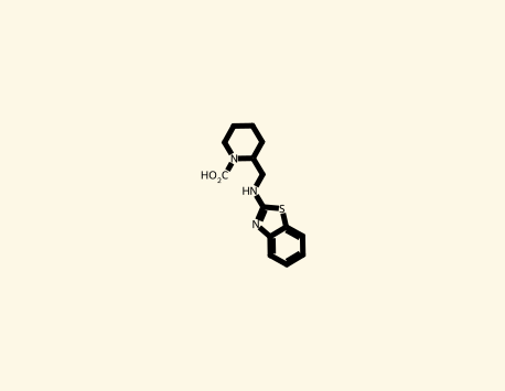 O=C(O)N1CCCCC1CNc1nc2ccccc2s1